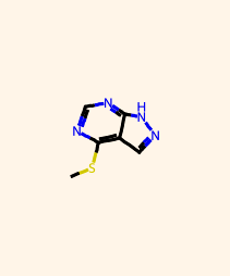 CSc1ncnc2[nH]ncc12